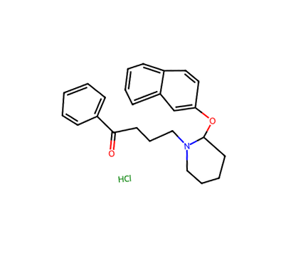 Cl.O=C(CCCN1CCCCC1Oc1ccc2ccccc2c1)c1ccccc1